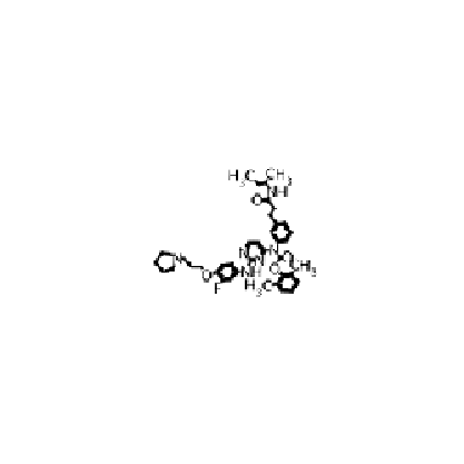 CCC(C)NC(=O)CCc1cccc(N(C(=O)Oc2c(C)cccc2C)c2ccnc(Nc3ccc(OCCCN4CCCCC4)c(F)c3)n2)c1